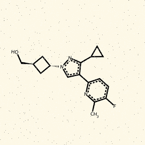 Cc1nc(-c2cn([C@H]3C[C@H](CO)C3)nc2C2CC2)ccc1F